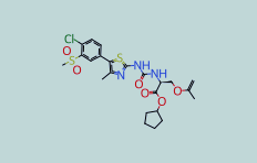 C=C(C)OC[C@H](NC(=O)Nc1nc(C)c(-c2ccc(Cl)c(S(C)(=O)=O)c2)s1)C(=O)OC1CCCC1